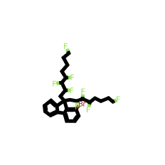 FCCCCC(F)C(F)C(F)CC1(CC(F)C(F)C(F)CCCCF)c2ccccc2-c2cccc(Br)c21